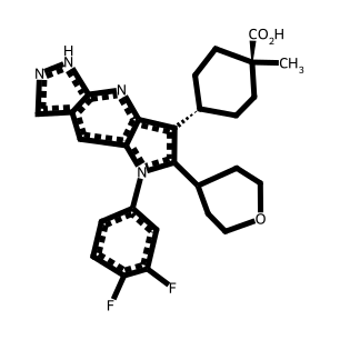 C[C@]1(C(=O)O)CC[C@H](c2c(C3CCOCC3)n(-c3ccc(F)c(F)c3)c3cc4cn[nH]c4nc32)CC1